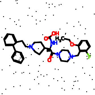 CCOc1cccc(F)c1CN1CCN(C(=O)[C@H](NC(=O)O)C2CCN(CCc3ccccc3-c3ccccc3)CC2)CC1